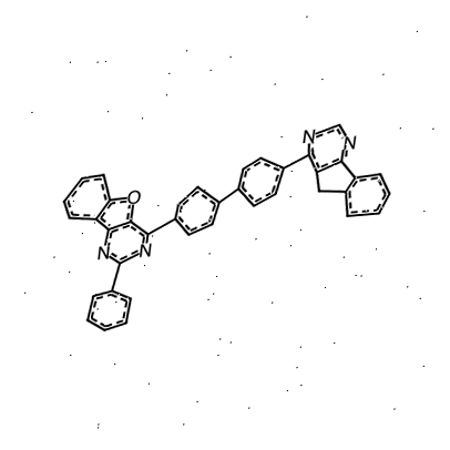 c1ccc(-c2nc(-c3ccc(-c4ccc(-c5ncnc6c5Cc5ccccc5-6)cc4)cc3)c3oc4ccccc4c3n2)cc1